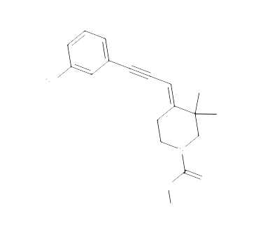 CC(C)(C)OC(=O)N1CC/C(=C\C#Cc2cccc(C#N)c2)C(C)(C)C1